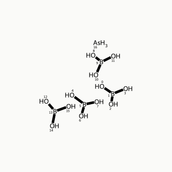 OB(O)O.OB(O)O.OB(O)O.OB(O)O.[AsH3]